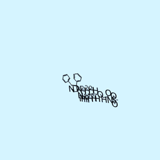 [2H]C([2H])(OCC(=O)NS(C)(=O)=O)C([2H])([2H])C([2H])([2H])C([2H])([2H])N(c1cnc(-c2ccccc2)c(-c2ccccc2)n1)C(C)C